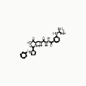 N=C(N)Nc1cccc(C(=O)NNC(=O)NCC(NC(=O)C2CCCN2Sc2ccccc2)C(=O)O)c1